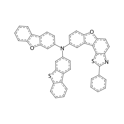 c1ccc(-c2nc3ccc4oc5ccc(N(c6ccc7c(c6)oc6ccccc67)c6ccc7c(c6)sc6ccccc67)cc5c4c3s2)cc1